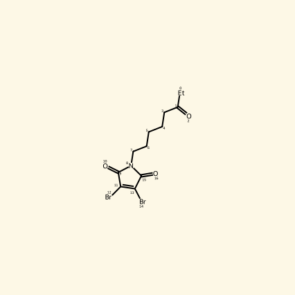 CCC(=O)CCCCCN1C(=O)C(Br)=C(Br)C1=O